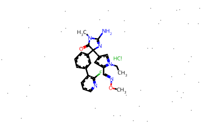 CCn1cc(C2(c3cccc(-c4cccnc4F)c3)N=C(N)N(C)C2=O)cc1/C=N/OC.Cl